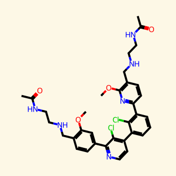 COc1cc(-c2nccc(-c3cccc(-c4ccc(CNCCNC(C)=O)c(OC)n4)c3Cl)c2Cl)ccc1CNCCNC(C)=O